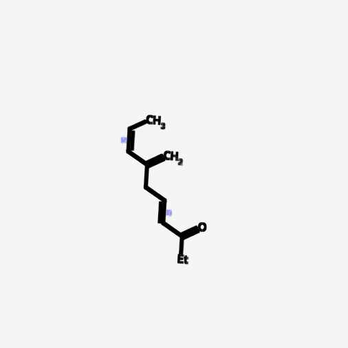 C=C(/C=C\C)C/C=C/C(=O)CC